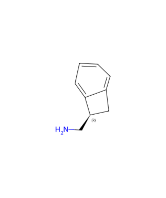 NC[C@@H]1Cc2ccccc21